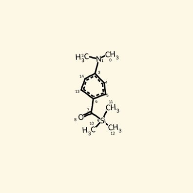 CN(C)c1ccc(C(=O)[Si](C)(C)C)cc1